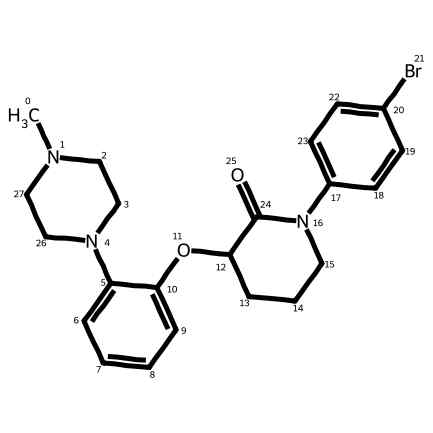 CN1CCN(c2ccccc2OC2CCCN(c3ccc(Br)cc3)C2=O)CC1